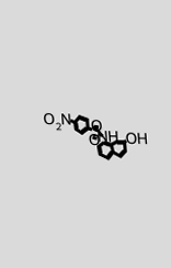 O=[N+]([O-])c1ccc(S(=O)(=O)Nc2cccc3ccc(O)cc23)cc1